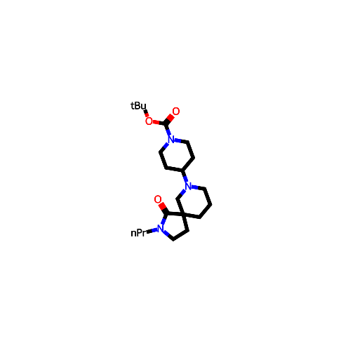 CCCN1CCC2(CCCN(C3CCN(C(=O)OC(C)(C)C)CC3)C2)C1=O